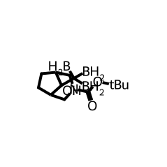 BC(B)(B)C1(O)C2CCC1CN(C(=O)OC(C)(C)C)C2